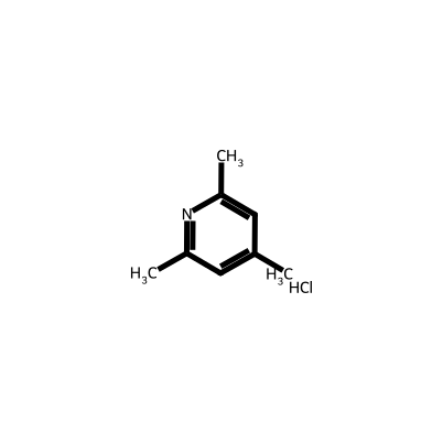 Cc1cc(C)nc(C)c1.Cl